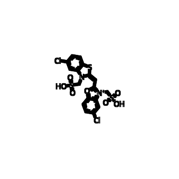 O=S(=O)(O)CN1C(=Cc2oc3ccc(Cl)cc3[n+]2CS(=O)(=O)O)Sc2ccc(Cl)cc21